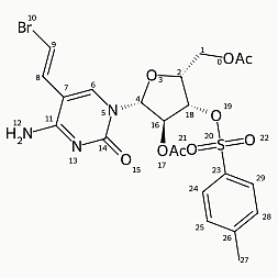 CC(=O)OC[C@H]1O[C@@H](n2cc(C=CBr)c(N)nc2=O)[C@H](OC(C)=O)[C@H]1OS(=O)(=O)c1ccc(C)cc1